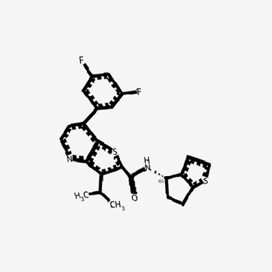 CC(C)c1c(C(=O)N[C@H]2CCc3sccc32)sc2c(-c3cc(F)cc(F)c3)ccnc12